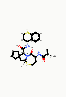 CN[C@@H](C)C(=O)N[C@H]1CCS[C@H]2CC3(CC=CC3)[C@@H](C(=O)N[C@@H]3CCSc4ccccc43)N2C1=O